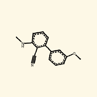 CNc1cccc(-c2cccc(OC)c2)c1C#N